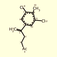 C=C(CCC(C)=O)c1cc(Cl)c(C)c(Cl)c1